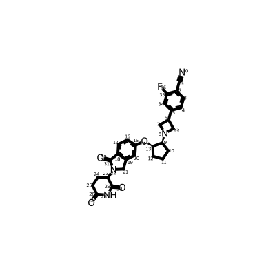 N#Cc1ccc(C2CN([C@H]3CCC[C@H]3Oc3ccc4c(c3)CN(C3CCC(=O)NC3=O)C4=O)C2)cc1F